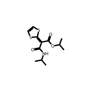 CC(C)NC(=O)C(C(=O)OC(C)C)=C1SC=CS1